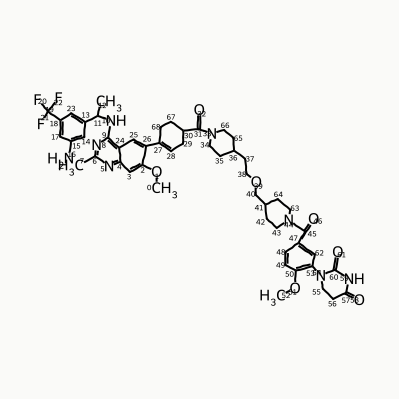 COc1cc2nc(C)nc(NC(C)c3cc(N)cc(C(F)(F)F)c3)c2cc1C1=CCC(C(=O)N2CCC(CCOCC3CCN(C(=O)c4ccc(OC)c(N5CCC(=O)NC5=O)c4)CC3)CC2)CC1